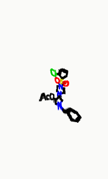 CC(=O)O[C@@H]1CN(Cc2ccccc2)C[C@H]1N1CCN(S(=O)(=O)c2ccccc2Cl)CC1